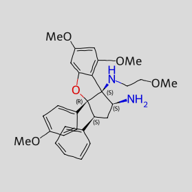 COCCN[C@]12c3c(OC)cc(OC)cc3O[C@@]1(c1ccc(OC)cc1)[C@H](c1ccccc1)C[C@@H]2N